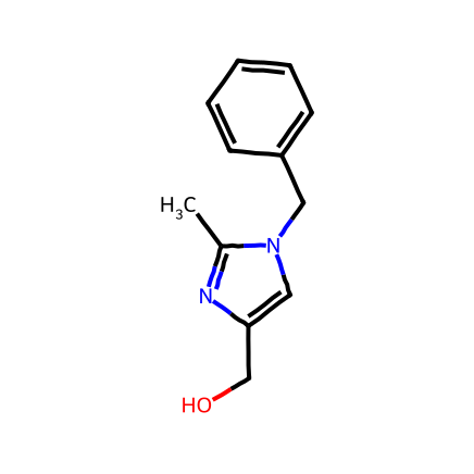 Cc1nc(CO)cn1Cc1ccccc1